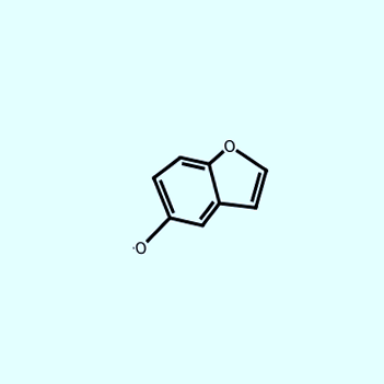 [O]c1ccc2occc2c1